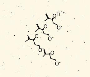 C=C(C)C(=O)CC[O-].C=C(C)C(=O)CC[O-].C=C(C)C(=O)CC[O-].C=C(C)C(=O)CC[O-].[Ti+4]